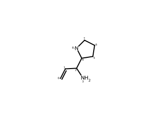 C=CC(N)C1CCC[N]1